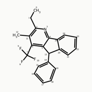 CCc1nc2c(c(C(F)(F)F)c1C)C(c1ccccc1)c1ccccc1-2